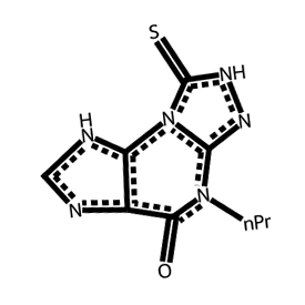 CCCn1c(=O)c2nc[nH]c2n2c(=S)[nH]nc12